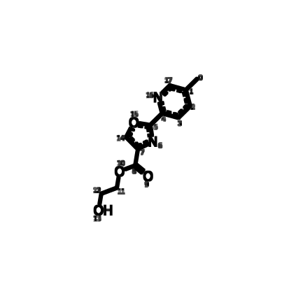 Cc1ccc(-c2nc(C(=O)OCCO)co2)nc1